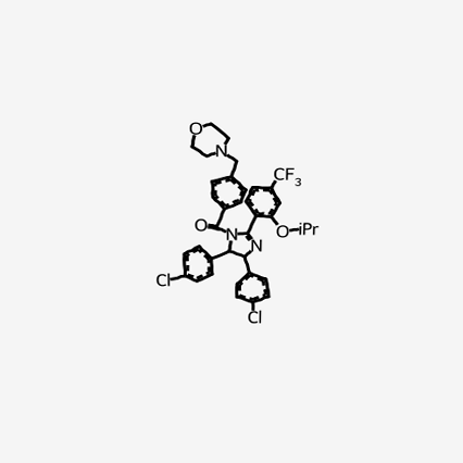 CC(C)Oc1cc(C(F)(F)F)ccc1C1=NC(c2ccc(Cl)cc2)C(c2ccc(Cl)cc2)N1C(=O)c1ccc(CN2CCOCC2)cc1